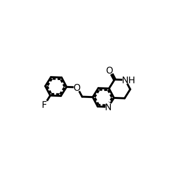 O=C1NCCc2ncc(COc3cccc(F)c3)cc21